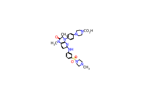 CC1C(=O)N(C)c2ccc(Nc3cccc(S(=O)(=O)N4CCN(C)CC4)c3)nc2N1c1ccc(N2CCN(C(=O)O)CC2)cc1